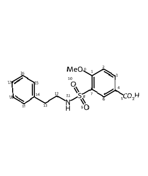 COc1ccc(C(=O)O)cc1S(=O)(=O)NCCc1ccccc1